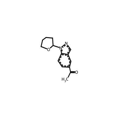 CC(=O)c1ccc2c(cnn2C2CCCCO2)c1